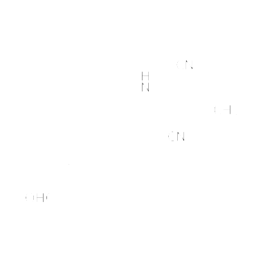 CC(C#N)(C#N)Nc1ccc(C=O)cc1